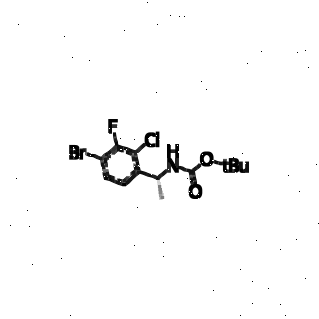 C[C@@H](NC(=O)OC(C)(C)C)c1ccc(Br)c(F)c1Cl